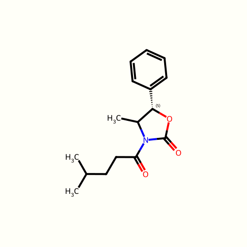 CC(C)CCC(=O)N1C(=O)O[C@@H](c2ccccc2)C1C